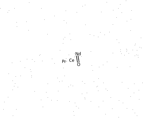 [Ce].[O]=[Nd].[Pr]